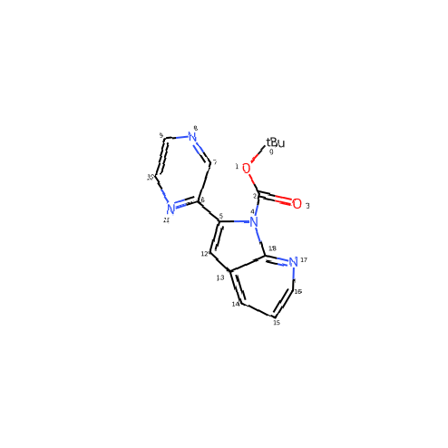 CC(C)(C)OC(=O)n1c(-c2cnccn2)cc2cccnc21